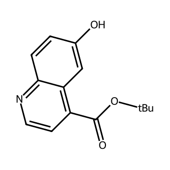 CC(C)(C)OC(=O)c1ccnc2ccc(O)cc12